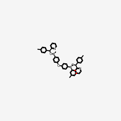 CB(OC(c1ccc(C)cc1)c1ccccn1)c1ccc(Oc2ccc(B(OC(c3ccc(C)cc3)c3ccccn3)c3cccc(C)c3)cc2)cc1